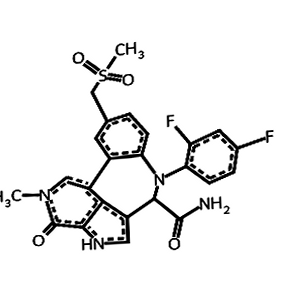 Cn1cc2c3c(c[nH]c3c1=O)C(C(N)=O)N(c1ccc(F)cc1F)c1ccc(CS(C)(=O)=O)cc1-2